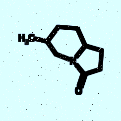 C[C]1CCC2CCC(=O)N2C1